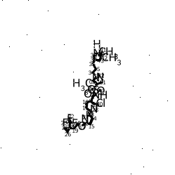 Cc1c(S(=O)(=O)NC(=O)c2ccc(-n3ccc(OCCC4(C(F)(F)F)CC4)n3)nc2Cl)cnn1CCCC1CNC(C)(C)C1